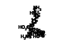 C[n+]1ccc(-c2ccc(OC[C@H](O/N=C(\C(=O)N[C@@H]3C(=O)N(OS(=O)(=O)[O-])C3(C)C)c3csc(N)n3)C(=O)O)cc2)cc1NCCN